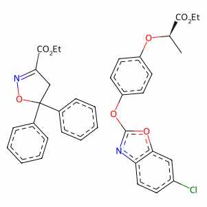 CCOC(=O)C1=NOC(c2ccccc2)(c2ccccc2)C1.CCOC(=O)[C@@H](C)Oc1ccc(Oc2nc3ccc(Cl)cc3o2)cc1